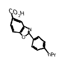 CCCc1ccc(-c2nc3cc(C(=O)O)ccc3o2)cc1